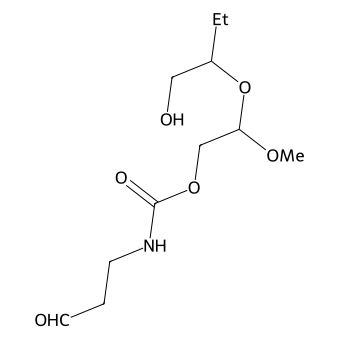 CCC(CO)OC(COC(=O)NCCC=O)OC